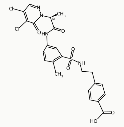 Cc1ccc(NC(=O)[C@H](C)n2ncc(Cl)c(Cl)c2=O)cc1S(=O)(=O)NCCc1ccc(C(=O)O)cc1